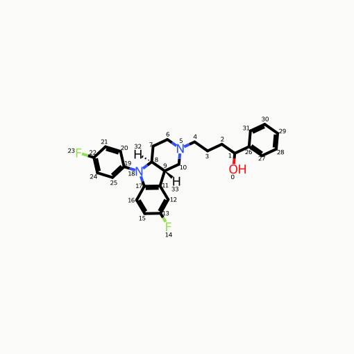 OC(CCCN1CC[C@H]2[C@H](C1)c1cc(F)ccc1N2c1ccc(F)cc1)c1ccccc1